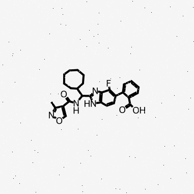 Cc1nocc1C(=O)NC(c1nc2c(F)c(-c3ccccc3C(=O)O)ccc2[nH]1)C1CCCCCCC1